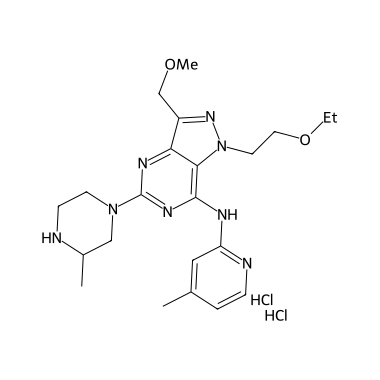 CCOCCn1nc(COC)c2nc(N3CCNC(C)C3)nc(Nc3cc(C)ccn3)c21.Cl.Cl